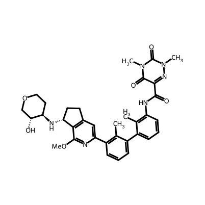 COc1nc(-c2cccc(-c3cccc(NC(=O)c4nn(C)c(=O)n(C)c4=O)c3C)c2C)cc2c1[C@H](N[C@@H]1CCOC[C@H]1O)CC2